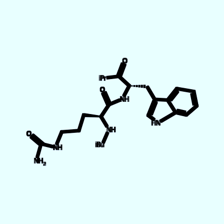 CCC(C)N[C@@H](CCCNC(N)=O)C(=O)N[C@@H](Cc1c[nH]c2ccccc12)C(=O)C(C)C